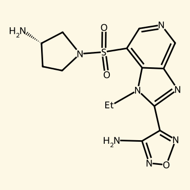 CCn1c(-c2nonc2N)nc2cncc(S(=O)(=O)N3CC[C@H](N)C3)c21